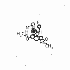 CCNC(=O)c1ccc2c(c1)CCc1cc(C(=O)NCC)ccc1C2(C[C@@H](Cc1ccc(F)cc1)NCC(=O)N1CCC[C@H]1C#N)c1nnn[nH]1